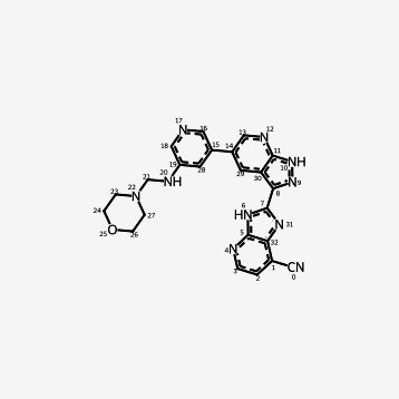 N#Cc1ccnc2[nH]c(-c3n[nH]c4ncc(-c5cncc(NCN6CCOCC6)c5)cc34)nc12